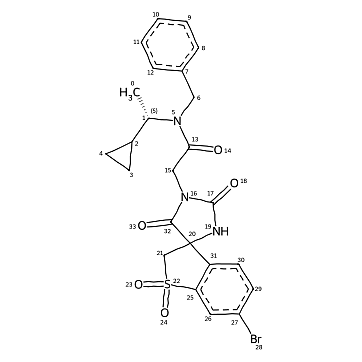 C[C@@H](C1CC1)N(Cc1ccccc1)C(=O)CN1C(=O)NC2(CS(=O)(=O)c3cc(Br)ccc32)C1=O